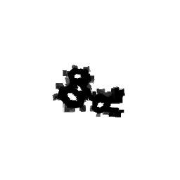 Brc1ccc(-n2c3ccccc3c3ccccc32)cc1Br